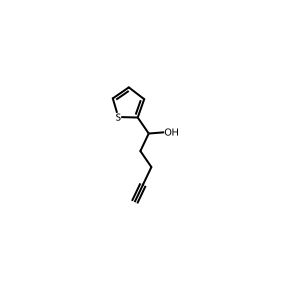 C#CCCC(O)c1cccs1